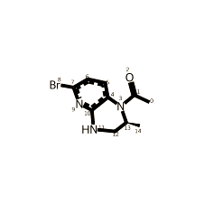 CC(=O)N1c2ccc(Br)nc2NC[C@@H]1C